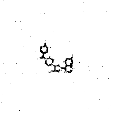 O=C(c1ccc(Cl)cc1)N1CCN(C2CN(c3ncnc4cc(F)ccc34)CC2O)CC1